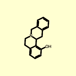 Oc1cccc2c1C1Cc3ccccc3CN1CC2